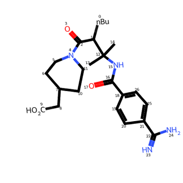 CCCCC(C(=O)N1CCC(CC(=O)O)CC1)C(C)(C)NC(=O)c1ccc(C(=N)N)cc1